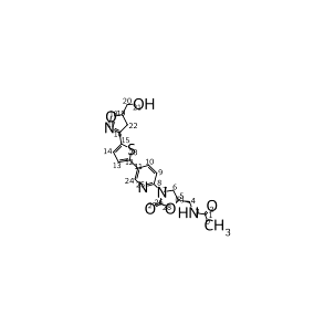 CC(=O)NC[C@@H]1CN(c2ccc(-c3ccc(C4=NOC(CO)C4)s3)cn2)C(=O)O1